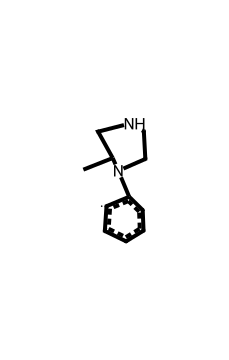 CC1CNCCN1c1[c]cccc1